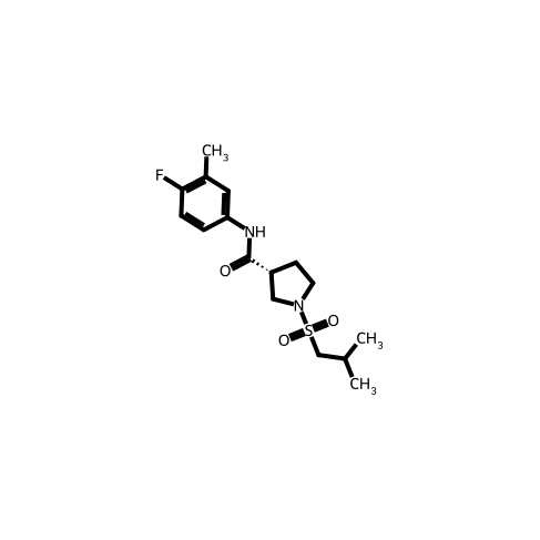 Cc1cc(NC(=O)[C@@H]2CCN(S(=O)(=O)CC(C)C)C2)ccc1F